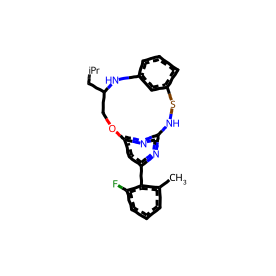 Cc1cccc(F)c1-c1cc2nc(n1)NSc1cccc(c1)NC(CC(C)C)CO2